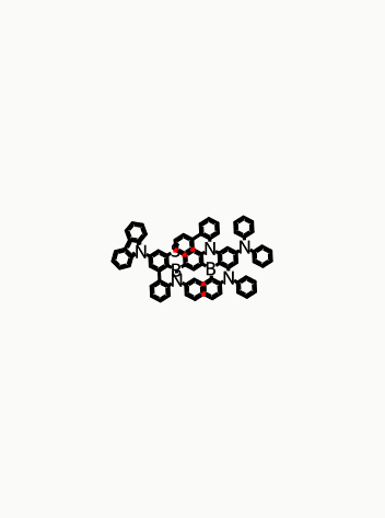 c1ccc(-c2ccccc2N2c3cc4c(cc3B3c5ccccc5N(c5ccccc5)c5cc(N(c6ccccc6)c6ccccc6)cc2c53)B2c3c(cc(-n5c6ccccc6c6ccccc65)cc3-c3ccccc3N2c2ccccc2)S4)cc1